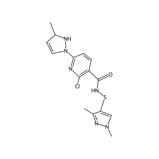 Cc1nn(C)cc1SNC(=O)c1ccc(N2C=CC(C)N2)nc1Cl